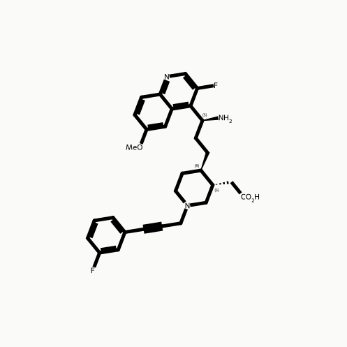 COc1ccc2ncc(F)c([C@@H](N)CC[C@@H]3CCN(CC#Cc4cccc(F)c4)C[C@H]3CC(=O)O)c2c1